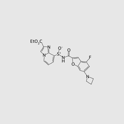 CCOC(=O)c1cn2cccc([S+]([O-])NC(=O)c3cc4c(F)cc(N5CCC5)cc4o3)c2n1